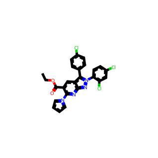 CCOC(=O)c1cc2c(-c3ccc(Cl)cc3)n(-c3ccc(Cl)cc3Cl)nc2nc1-n1cccc1